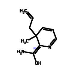 C=CCC1(C)C=CC=N/C1=C(/N)O